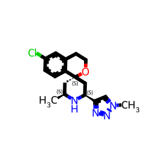 C[C@H]1C[C@@]2(C[C@@H](c3cn(C)nn3)N1)OCCc1cc(Cl)ccc12